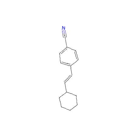 N#Cc1ccc(/C=C/C2CCCCC2)cc1